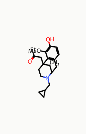 CCC(=O)CC12CCN(CC3CC3)C(Cc3ccc(O)c(OC)c31)C2C